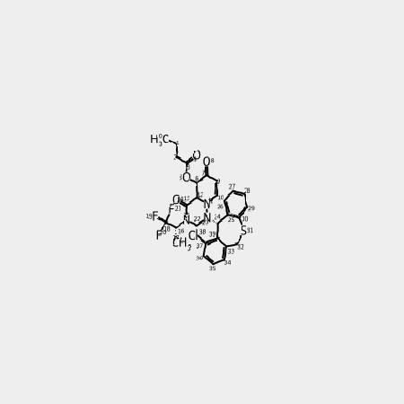 CCCC(=O)OC1C(=O)C=CN2C1C(=O)N([C@H](C)C(F)(F)F)CN2[C@@H]1c2ccccc2SCc2cccc(Cl)c21